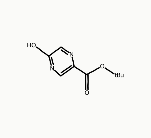 CC(C)(C)OC(=O)c1cnc(O)cn1